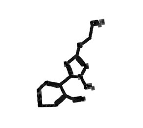 COc1ccccc1-c1nc(OCC(=O)O)nn1C